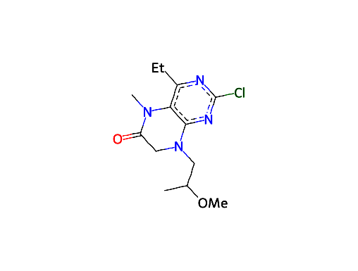 CCc1nc(Cl)nc2c1N(C)C(=O)CN2CC(C)OC